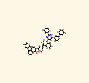 C1=C(c2ccc3oc4c5cccc6c5c(cc4c3c2)-c2ccccc2-6)c2ccccc2C(c2cc(-c3cccc(-c4ccccc4)c3)nc(-c3ccccc3)n2)C1